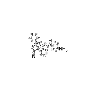 N#Cc1ccc2c(c1)c(C(CCNC1CCC(N)CC1)C1CCCCC1)cn2C1CCCCC1